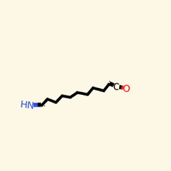 N=[C]CCCCCCCC[C]=C=O